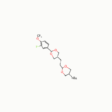 CCCCC1COC(CCC2COC(c3ccc(OC(F)(F)F)c(F)c3)OC2)OC1